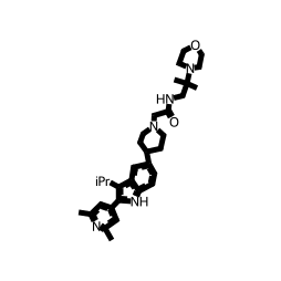 Cc1cc(-c2[nH]c3ccc(C4CCN(CC(=O)NCC(C)(C)N5CCOCC5)CC4)cc3c2C(C)C)cc(C)n1